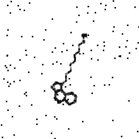 COCCCCCCCCn1cnc2cnc3ccccc3c21